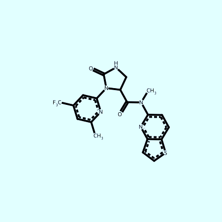 Cc1cc(C(F)(F)F)cc(N2C(=O)NCC2C(=O)N(C)c2ccc3sccc3n2)n1